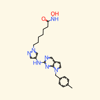 Cc1ccc(Cn2ccc3cnc(Nc4cnn(CCCCCCC(=O)NO)c4)nc32)cc1